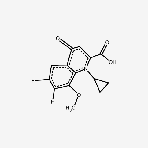 COc1c(F)c(F)cc2c(=O)cc(C(=O)O)n(C3CC3)c12